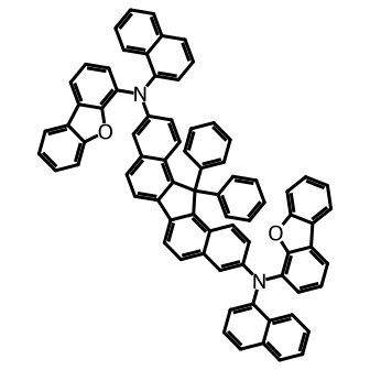 c1ccc(C2(c3ccccc3)c3c(ccc4cc(N(c5cccc6ccccc56)c5cccc6c5oc5ccccc56)ccc34)-c3ccc4cc(N(c5cccc6ccccc56)c5cccc6c5oc5ccccc56)ccc4c32)cc1